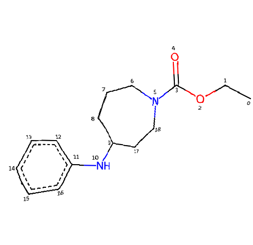 CCOC(=O)N1CCCC(Nc2ccccc2)CC1